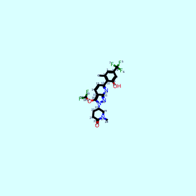 Cc1cc(C(F)(F)F)cc(O)c1-c1ccc2c(OC(F)F)n([C@@H]3CCC(=O)N(C)C3)nc2n1